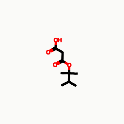 CC(C)C(C)(C)OC(=O)CC(=O)O